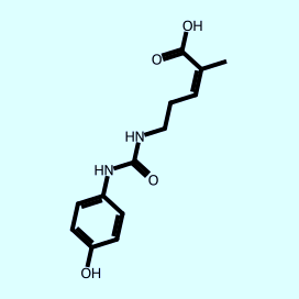 CC(=CCCNC(=O)Nc1ccc(O)cc1)C(=O)O